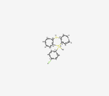 CS1(c2ccc(F)cc2)c2ccccc2Sc2ccccc21